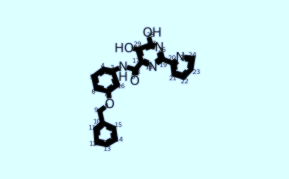 O=C(Nc1cccc(OCc2ccccc2)c1)c1nc(-c2ccccn2)nc(O)c1O